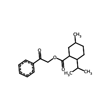 CC1CCC(C(C)C)C(C(=O)OCC(=O)c2ccccc2)C1